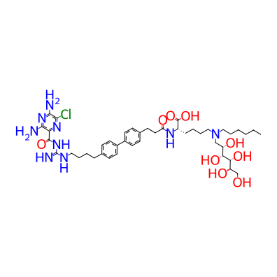 CCCCCCN(CCCC[C@H](NC(=O)CCc1ccc(-c2ccc(CCCCNC(=N)NC(=O)c3nc(Cl)c(N)nc3N)cc2)cc1)C(=O)O)C[C@H](O)[C@@H](O)[C@H](O)[C@H](O)CO